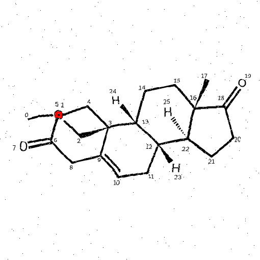 COC[C@]12CCC(=O)CC1=CC[C@@H]1[C@H]2CC[C@]2(C)C(=O)CC[C@@H]12